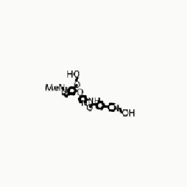 CNn1ccc2cc(Oc3ccnc(NC(=O)c4ccc(C5CCN(CCO)CC5)cc4)c3)c(OCCO)cc21